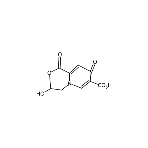 O=C(O)c1cn2c(cc1=O)C(=O)OC(O)C2